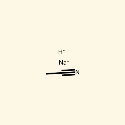 CC#N.[H-].[Na+]